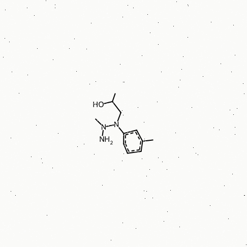 Cc1cccc(N(CC(C)O)N(C)N)c1